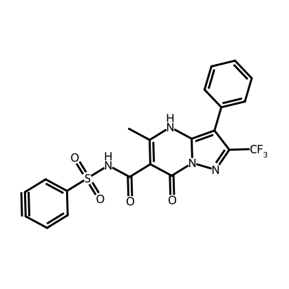 Cc1[nH]c2c(-c3ccccc3)c(C(F)(F)F)nn2c(=O)c1C(=O)NS(=O)(=O)c1cc#ccc1